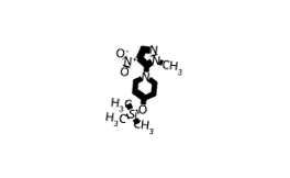 Cn1ncc([N+](=O)[O-])c1N1CC=C(O[Si](C)(C)C)CC1